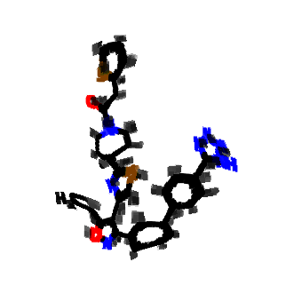 Cc1onc(-c2cccc(-c3ccc(-c4nnn[nH]4)cc3)c2)c1-c1csc(C2CCN(C(=O)Cc3cccs3)CC2)n1